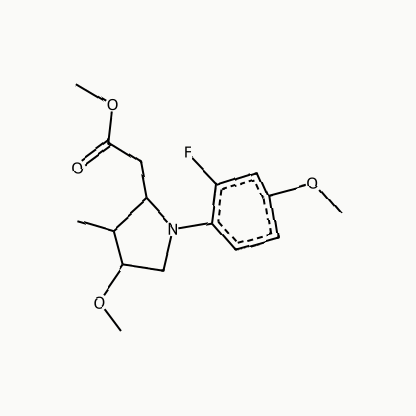 COC(=O)CC1C(C)C(OC)CN1c1ccc(OC)cc1F